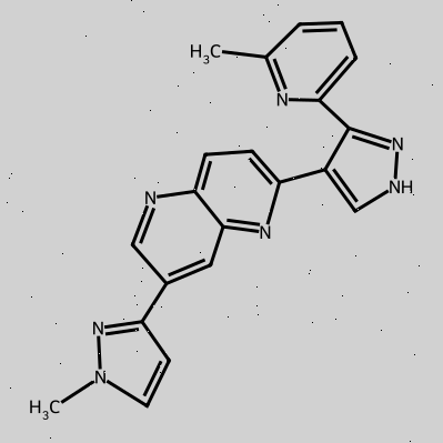 Cc1cccc(-c2n[nH]cc2-c2ccc3ncc(-c4ccn(C)n4)cc3n2)n1